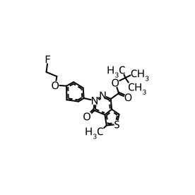 Cc1scc2c(C(=O)OC(C)(C)C)nn(-c3ccc(OCCF)cc3)c(=O)c12